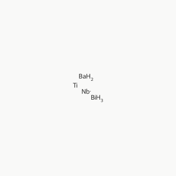 [BaH2].[BiH3].[Nb].[Ti]